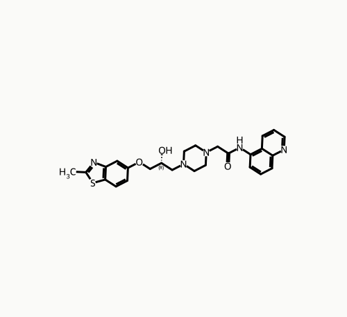 Cc1nc2cc(OC[C@H](O)CN3CCN(CC(=O)Nc4cccc5ncccc45)CC3)ccc2s1